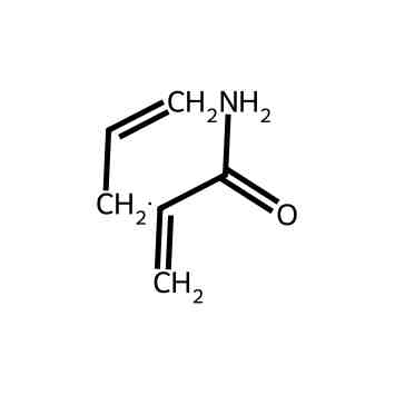 C=CC(N)=O.[CH2]C=C